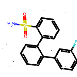 NS(=O)(=O)c1ccccc1-c1ccccc1-c1cccc(F)c1